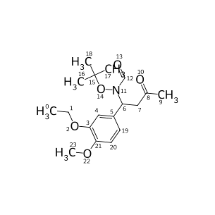 CCOc1cc(C(CC(C)=O)N(C=O)OC(C)(C)C)ccc1OC